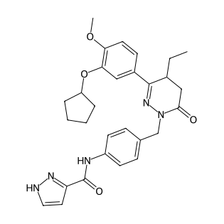 CCC1CC(=O)N(Cc2ccc(NC(=O)c3cc[nH]n3)cc2)N=C1c1ccc(OC)c(OC2CCCC2)c1